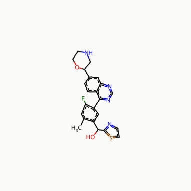 Cc1cc(F)c(-c2ncnc3cc(C4CNCCO4)ccc23)cc1C(O)c1nccs1